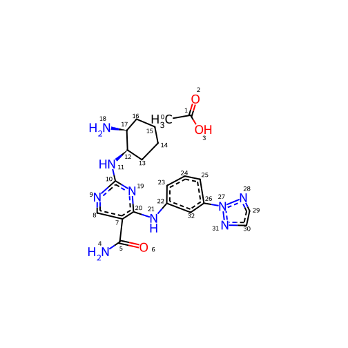 CC(=O)O.NC(=O)c1cnc(N[C@@H]2CCCC[C@@H]2N)nc1Nc1cccc(-n2nccn2)c1